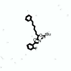 CC(C)(C)[Si](C)(C)OC(CCCCCCc1ccccc1)c1ncc(-c2ccccc2F)o1